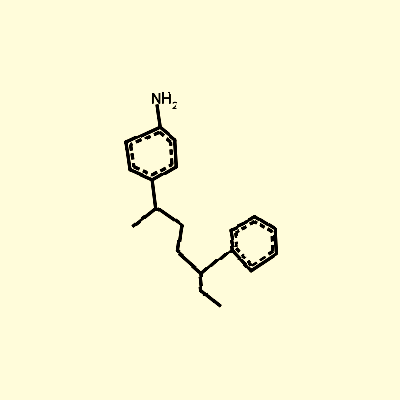 CCC(CCC(C)c1ccc(N)cc1)c1ccccc1